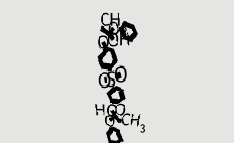 CCC(O)(Oc1ccccc1)Oc1ccc(S(=O)(=O)c2ccc(OC(O)(CC)Oc3ccccc3)cc2)cc1